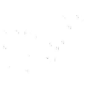 COC1C(n2cc(-c3csc(N)n3)nn2)[C@@H](O)C(CO)O[C@@H]1Sc1cc(Cl)cnc1-c1nccs1